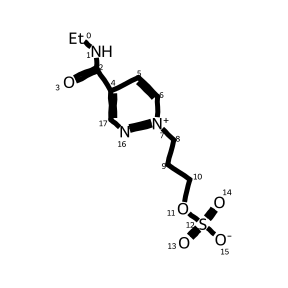 CCNC(=O)c1cc[n+](CCCOS(=O)(=O)[O-])nc1